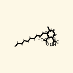 CCCCCCCCCCc1c(C)ccc(C(=O)O)c1C(=O)O